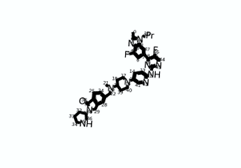 Cc1nc2c(F)cc(-c3nc(Nc4ccc(N5CCC(N(C)Cc6ccc7c(c6)CN(C6CCCNC6)C7=O)CC5)cn4)ncc3F)cc2n1C(C)C